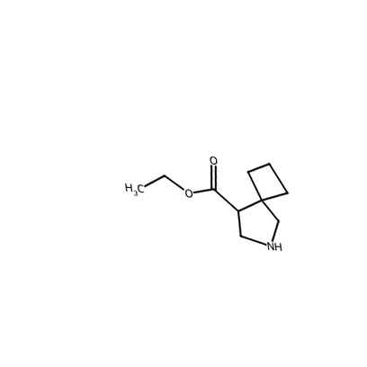 CCOC(=O)C1CNCC12CCC2